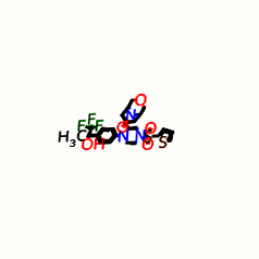 CC(O)(c1ccc(N2CCN(S(=O)(=O)c3cccs3)C[C@@H]2CN2C3COCC2CC(=O)C3)cc1)C(F)(F)F